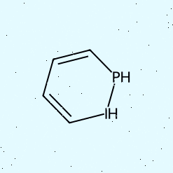 C1=CP[IH]C=C1